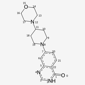 O=c1[nH]cnc2cc(N3CCC(N4CCOCC4)CC3)ccc12